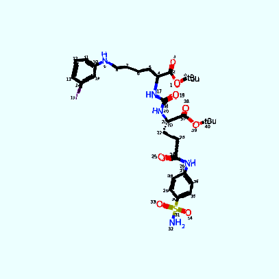 CC(C)(C)OC(=O)C(CCCCNc1cccc(I)c1)NC(=O)N[C@@H](CCC(=O)Nc1ccc(S(N)(=O)=O)cc1)C(=O)OC(C)(C)C